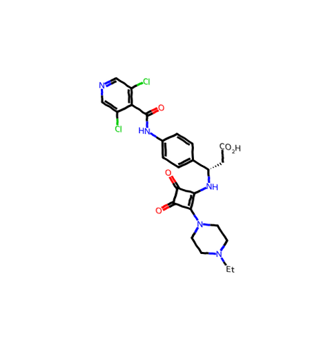 CCN1CCN(c2c(N[C@@H](CC(=O)O)c3ccc(NC(=O)c4c(Cl)cncc4Cl)cc3)c(=O)c2=O)CC1